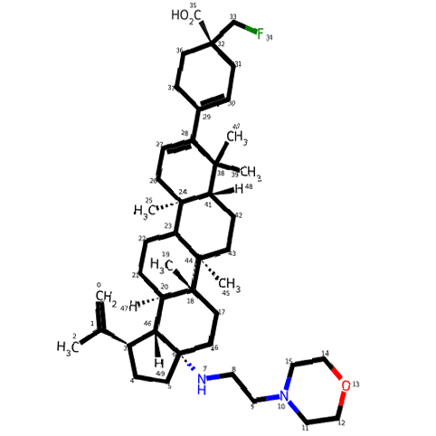 C=C(C)[C@@H]1CC[C@]2(NCCN3CCOCC3)CC[C@]3(C)[C@H](CCC4[C@@]5(C)CC=C(C6=CC[C@](CF)(C(=O)O)CC6)C(C)(C)[C@@H]5CC[C@]43C)[C@@H]12